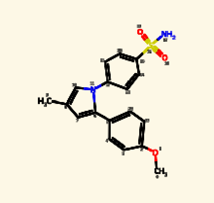 COc1ccc(-c2cc(C)cn2-c2ccc(S(N)(=O)=O)cc2)cc1